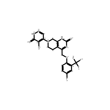 O=c1nc(COc2ccc(F)cc2C(F)(F)F)c2c([nH]1)CN(c1cn[nH]c(=O)c1Cl)CC2